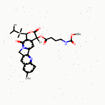 CCC1(OC(=O)CCCNC(=O)OC(C)(C)C)C(=O)OC([Si](C)(C)C(C)C(C)C)c2c1cc1n(c2=O)Cc2cc3cc(OC(C)=O)ccc3nc2-1